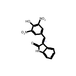 O=C1Nc2ccccc2/C1=C/c1cc([N+](=O)[O-])c(O)c([N+](=O)[O-])c1